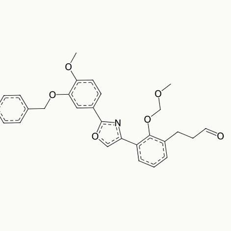 COCOc1c(CCC=O)cccc1-c1coc(-c2ccc(OC)c(OCc3ccccc3)c2)n1